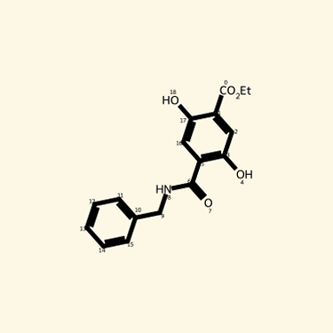 CCOC(=O)c1cc(O)c(C(=O)NCc2ccccc2)cc1O